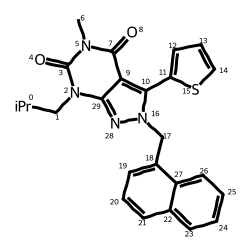 CC(C)Cn1c(=O)n(C)c(=O)c2c(-c3cccs3)n(Cc3cccc4ccccc34)nc21